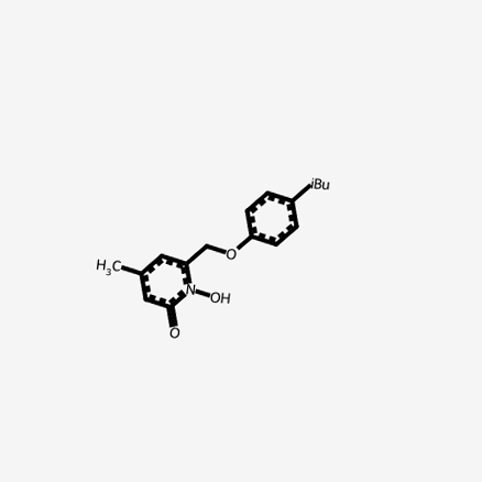 CCC(C)c1ccc(OCc2cc(C)cc(=O)n2O)cc1